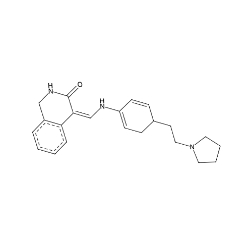 O=C1NCc2ccccc2/C1=C/NC1=CCC(CCN2CCCC2)C=C1